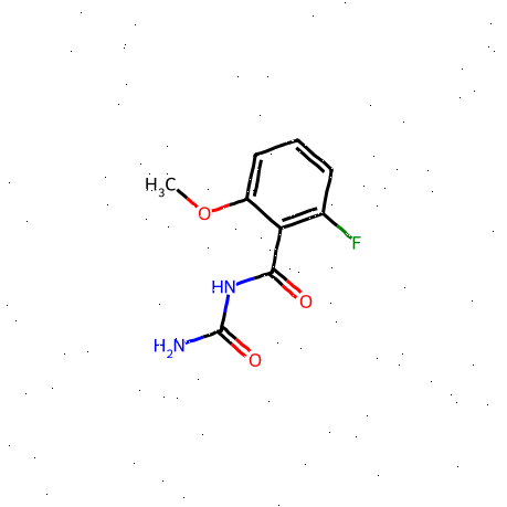 COc1cccc(F)c1C(=O)NC(N)=O